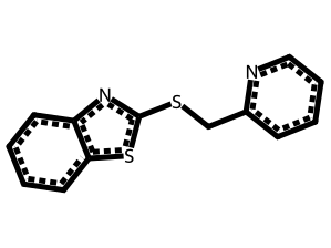 c1ccc(CSc2nc3ccccc3s2)nc1